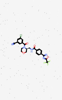 N#Cc1cc(Cl)cc(C(=O)N2CCOC[C@@H]2CNC(=O)c2ccc(-c3noc(C(F)(F)F)n3)cc2)c1